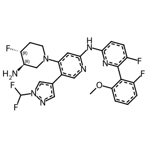 COc1cccc(F)c1-c1nc(Nc2cc(N3CC[C@@H](F)[C@H](N)C3)c(-c3cnn(C(F)F)c3)cn2)ccc1F